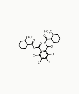 O=C(OC(=O)C1CCCCC1C(=O)O)c1c(Cl)c(Cl)c(Cl)c(Cl)c1C(=O)OC(=O)C1CCCCC1C(=O)O